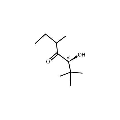 CCC(C)C(=O)[C@@H](O)C(C)(C)C